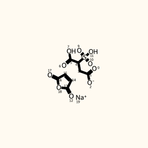 O=C([O-])CC(C(=O)O)S(=O)(=O)O.O=C1C=CC(=O)O1.[Na+]